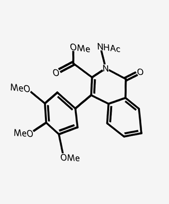 COC(=O)c1c(-c2cc(OC)c(OC)c(OC)c2)c2ccccc2c(=O)n1NC(C)=O